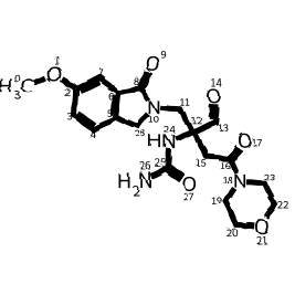 COc1ccc2c(c1)C(=O)N(CC(C=O)(CC(=O)N1CCOCC1)NC(N)=O)C2